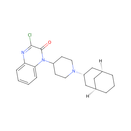 O=c1c(Cl)nc2ccccc2n1C1CCN([C@H]2C[C@@H]3CCC[C@@H](C3)C2)CC1